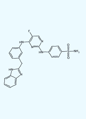 NS(=O)(=O)c1ccc(Nc2ncc(F)c(Nc3cccc(Cc4nc5ccccc5[nH]4)c3)n2)cc1